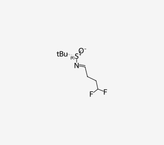 CC(C)(C)[S@+]([O-])N=CCCC(F)F